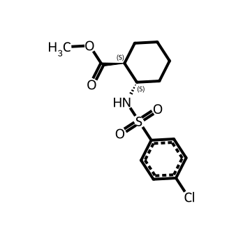 COC(=O)[C@H]1CCCC[C@@H]1NS(=O)(=O)c1ccc(Cl)cc1